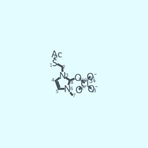 CC(=O)SCN1C=CN(C)C1O[Cl+3]([O-])([O-])[O-]